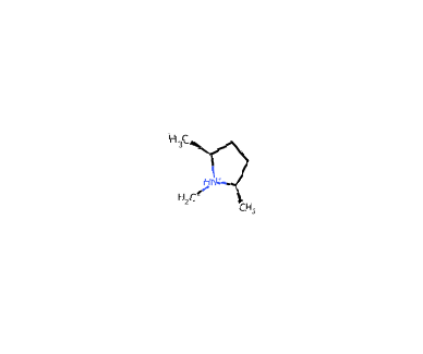 [CH2-][NH+]1[C@H](C)CC[C@@H]1C